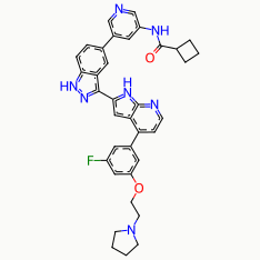 O=C(Nc1cncc(-c2ccc3[nH]nc(-c4cc5c(-c6cc(F)cc(OCCN7CCCC7)c6)ccnc5[nH]4)c3c2)c1)C1CCC1